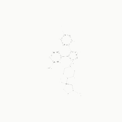 CNc1nccc(-c2c(-c3ccc(F)cc3)ncn2C2CCC(C3(O)CCC(O)C3)CC2)n1